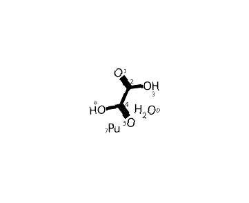 O.O=C(O)C(=O)O.[Pu]